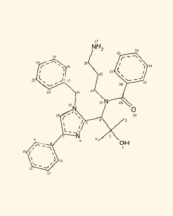 CC(C)(O)C(c1nc(-c2ccccc2)cn1Cc1ccccc1)N(CCCN)C(=O)c1ccccc1